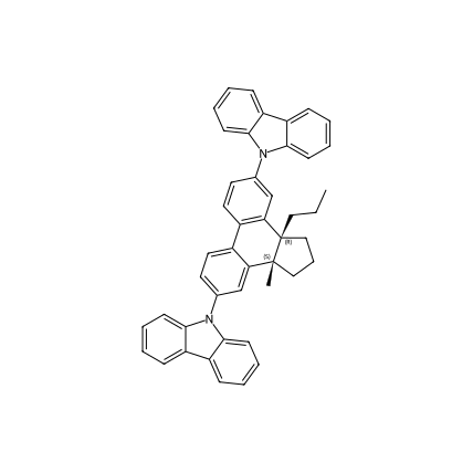 CCC[C@@]12CCC[C@]1(C)c1cc(-n3c4ccccc4c4ccccc43)ccc1-c1ccc(-n3c4ccccc4c4ccccc43)cc12